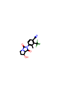 Cc1c(N2C(=O)C3[C@@H](O)CCN3C2=O)ccc(C#N)c1C(F)(F)F